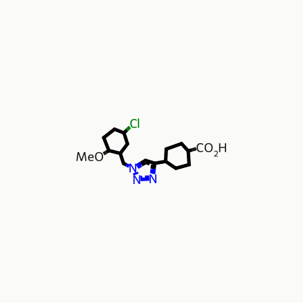 COC1CCC(Cl)CC1Cn1cc(C2CCC(C(=O)O)CC2)nn1